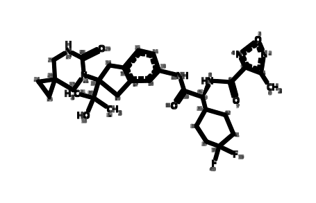 Cc1nonc1C(=O)N[C@H](C(=O)Nc1ccc2c(c1)CC(N1CC3(CC3)CNC1=O)(C(C)(C)O)C2)C1CCC(F)(F)CC1